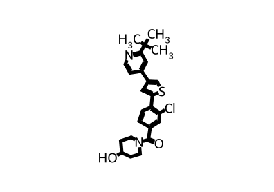 CC(C)(C)c1cc(-c2csc(-c3ccc(C(=O)N4CCC(O)CC4)cc3Cl)c2)ccn1